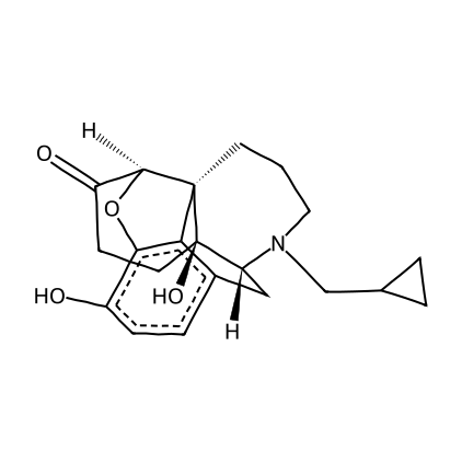 O=C1CC[C@@]2(O)[C@H]3Cc4ccc(O)c5c4[C@@]2(CCCN3CC2CC2)[C@H]1O5